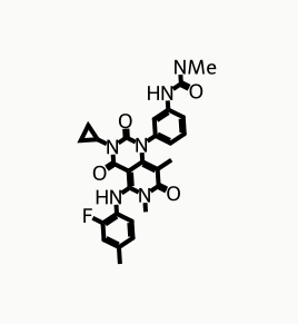 CNC(=O)Nc1cccc(-n2c(=O)n(C3CC3)c(=O)c3c(Nc4ccc(C)cc4F)n(C)c(=O)c(C)c32)c1